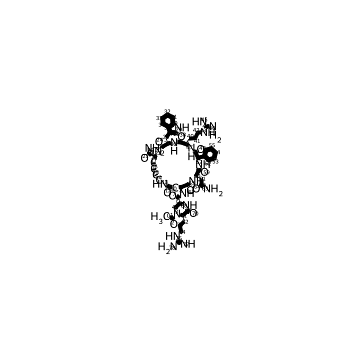 CC(=O)N1C[C@H](C(=O)N[C@H]2CC(=O)NCCCC[C@@H](C(N)=O)NC(=O)[C@H](Cc3c[nH]c4ccccc34)NC(=O)[C@H](CCCNC(=N)N)NC(=O)C(c3ccccc3)NC(=O)[C@H](CC(N)=O)NC2=O)NC(=O)[C@@H]1CCCNC(=N)N